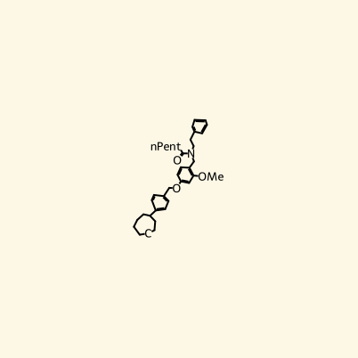 CCCCCC(=O)N(CCc1ccccc1)Cc1ccc(OCc2ccc(C3CCCCCCC3)cc2)cc1OC